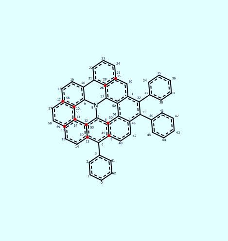 c1ccc(-c2ccc(N(c3c(-c4ccccc4)cccc3-c3ccccc3)c3cccc4c(-c5ccccc5)c(-c5ccccc5)c5ccccc5c34)c(-c3ccccc3)c2)cc1